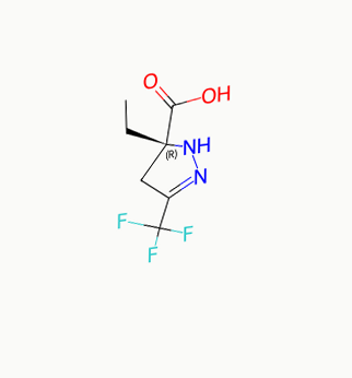 CC[C@]1(C(=O)O)CC(C(F)(F)F)=NN1